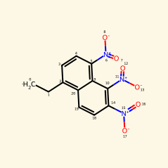 [CH2]Cc1ccc([N+](=O)[O-])c2c([N+](=O)[O-])c([N+](=O)[O-])ccc12